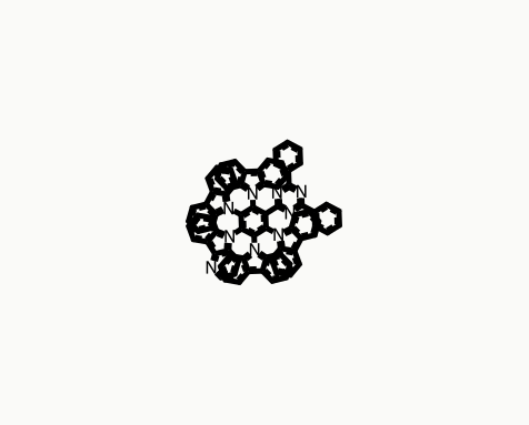 c1ccc(-c2nc(-c3ccccc3)nc(-c3c(-n4c5ccccc5c5ccccc54)c(-n4c5ccccc5c5ccccc54)c(-n4c5ccccc5c5ncccc54)c(-n4c5ccccc5c5ccccc54)c3-n3c4ccccc4c4ccccc43)n2)cc1